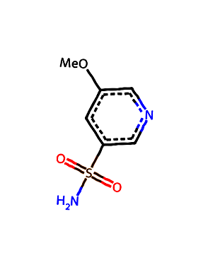 COc1cncc(S(N)(=O)=O)c1